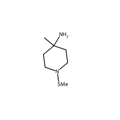 CSN1CCC(C)(N)CC1